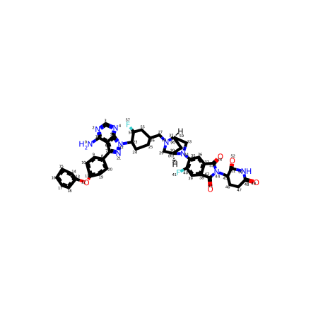 Nc1ncnc2c1c(-c1ccc(Oc3ccccc3)cc1)nn2C1CCC(CN2C[C@H]3C[C@@H]2CN3c2cc3c(cc2F)C(=O)N(C2CCC(=O)NC2=O)C3=O)CC1F